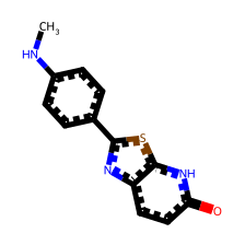 CNc1ccc(-c2nc3ccc(=O)[nH]c3s2)cc1